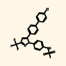 CS(=O)(=O)Nc1ccc(-n2nc(C(F)(F)F)cc2-c2ccc(-c3ccc(Cl)cc3)cc2)cc1